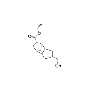 C=COC(=O)C1CC2CC1C1CC(CO)CC21